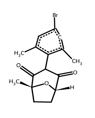 Cc1cc(Br)cc(C)c1C1C(=O)[C@@H]2CC[C@@](C)(O2)C1=O